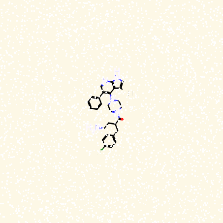 Cc1c[nH]c2ncc(-c3ccccc3)c(N3CCN(C(=O)C(CCN)Cc4ccc(Cl)cc4)CC3)c12